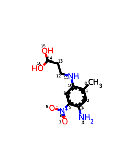 Cc1cc(N)c([N+](=O)[O-])cc1NCCC(O)O